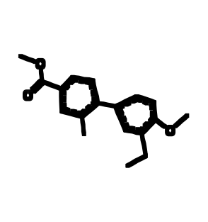 CCc1cc(-c2ccc(C(=O)OC)cc2C)ccc1OC